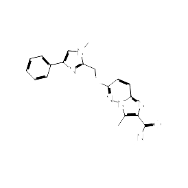 Cc1c(C(N)=O)nc2ccc(OCc3nc(-c4ccccc4)cn3C)nn12